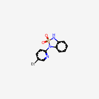 CCc1ccc(N2c3ccccc3NS2(=O)=O)nc1